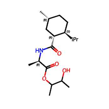 CC(O)C(C)OC(=O)[C@@H](C)NC(=O)[C@@H]1C[C@H](C)CC[C@H]1C(C)C